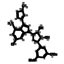 COc1cc(OC)cc([C@H]2C[C@@H](n3cc(-c4ccn(C)n4)c4c(N)nc(Cl)nc43)[C@H](O)[C@@H]2O)c1